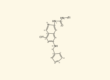 CCNC(=O)Nc1cc2cc(NCc3ccccc3)cc(Cl)c2cn1